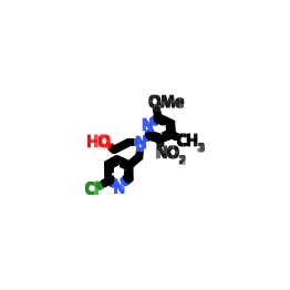 COc1cc(C)c([N+](=O)[O-])c(N(CCO)Cc2ccc(Cl)nc2)n1